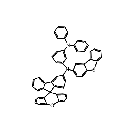 c1ccc(N(c2ccccc2)c2cccc(N(c3ccc4c(c3)-c3ccccc3C43c4ccccc4Oc4ccccc43)c3ccc4sc5ccccc5c4c3)c2)cc1